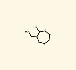 NCC1CCCCCC1N